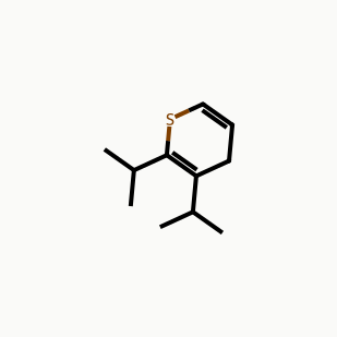 CC(C)C1=C(C(C)C)SC=CC1